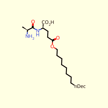 CCCCCCCCCCCCCCCCCCOC(=O)CC[C@@H](NC(=O)[C@H](C)N)C(=O)O